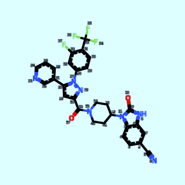 N#Cc1ccc2c(c1)[nH]c(=O)n2C1CCN(C(=O)c2cc(-c3cccnc3)n(-c3ccc(C(F)(F)F)c(F)c3)n2)CC1